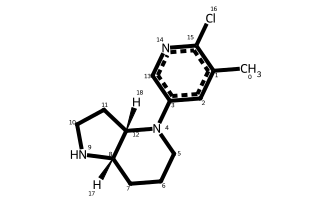 Cc1cc(N2CCC[C@@H]3NCC[C@@H]32)cnc1Cl